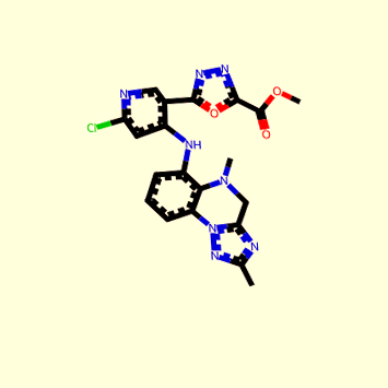 COC(=O)c1nnc(-c2cnc(Cl)cc2Nc2cccc3c2N(C)Cc2nc(C)nn2-3)o1